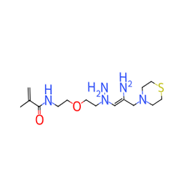 C=C(C)C(=O)NCCOCCN(N)/C=C(\N)CN1CCSCC1